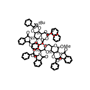 CO[C@H]1OC(COC(=O)c2ccccc2)[C@H](OC2OC(COC(=O)c3ccccc3)C(O[C@H]3OC(COC(=O)c4ccccc4)[C@H](O[Si](C)(C)C(C)(C)C)C(OC(=O)c4ccccc4)[C@H]3N3C(=O)c4ccccc4C3=O)[C@H](OC(=O)c3ccccc3)[C@@H]2N2C(=O)c3ccccc3C2=O)C(OC(=O)c2ccccc2)[C@H]1N1C(=O)c2ccccc2C1=O